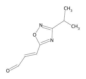 CC(C)c1noc(C=CC=O)n1